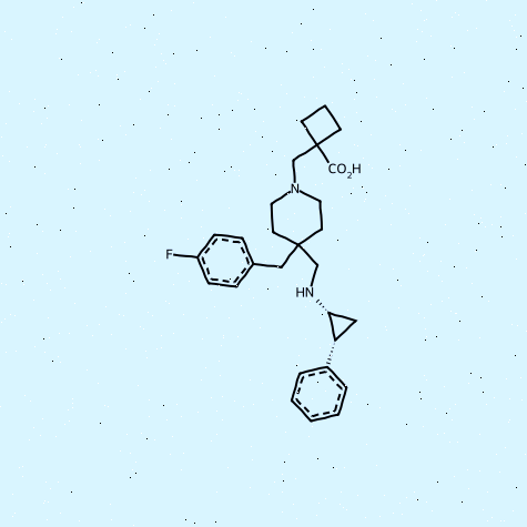 O=C(O)C1(CN2CCC(CN[C@@H]3C[C@@H]3c3ccccc3)(Cc3ccc(F)cc3)CC2)CCC1